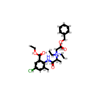 CCOC(=O)c1cc(Cl)cc(C)c1NC(=O)C(C)[N+](CC)(CC)CC(=O)OCc1ccccc1